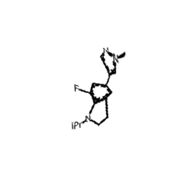 CC(C)N1CCc2cc(-c3cnn(C)c3)cc(F)c21